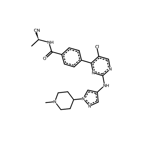 C[C@@H](C#N)NC(=O)c1ccc(-c2nc(Nc3cnn(C4CCN(C)CC4)c3)ncc2Cl)cc1